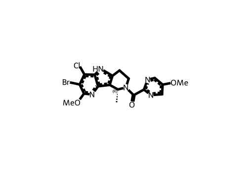 COc1cnc(C(=O)N2CCc3[nH]c4c(Cl)c(Br)c(OC)nc4c3[C@H]2C)nc1